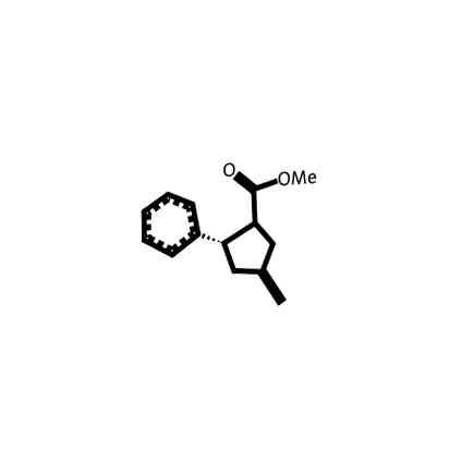 C=C1CC(C(=O)OC)[C@@H](c2ccccc2)C1